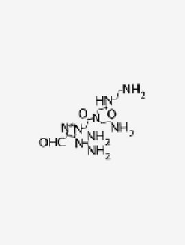 NCCNC(=O)CN(CCN)C(=O)Cn1cnc(C=O)c1N=C(N)N